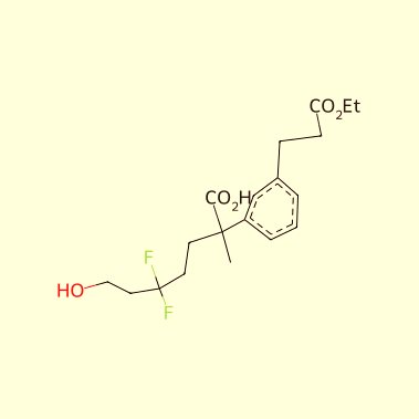 CCOC(=O)CCc1cccc(C(C)(CCC(F)(F)CCO)C(=O)O)c1